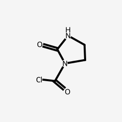 O=C(Cl)N1CCNC1=O